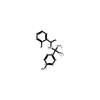 Cc1ccccc1C(C)PC(P)(P)c1ccc(C(C)C)cc1